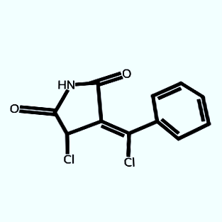 O=C1NC(=O)C(Cl)C1=C(Cl)c1ccccc1